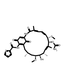 CO[C@H]1/C=C\C=C(/C)C(=O)NC2=CC(=O)C(NC(=O)c3cccs3)=C(C[C@@H](C)C[C@H](OC)[C@H](O)[C@@H](C)/C=C(\C)[C@@H]1OC(N)=O)C2=O